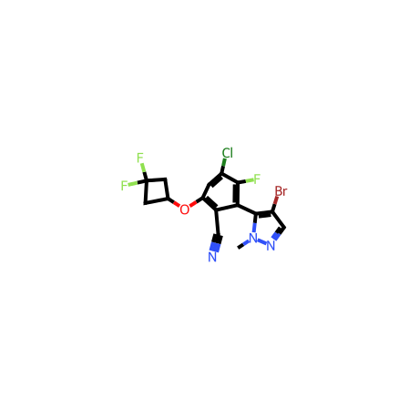 Cn1ncc(Br)c1-c1c(F)c(Cl)cc(OC2CC(F)(F)C2)c1C#N